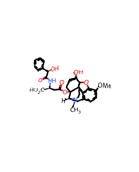 COc1ccc2c3c1OC1C(O)=CC[C@@]4(OC(=O)C[C@H](NC(=O)[C@H](O)c5ccccc5)C(=O)O)[C@@H](C2)N(C)CCC314